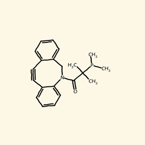 CP(C)C(C)(C)C(=O)N1Cc2ccccc2C#Cc2ccccc21